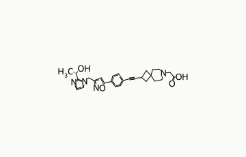 C[C@H](O)c1nccn1Cc1cc(-c2ccc(C#CC3CC4(CCN(CC(=O)O)CC4)C3)cc2)on1